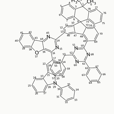 CC1(C)c2ccccc2C2(c3ccc(-c4nc(-c5ccc6c(c5)c5ccccc5n6-c5ccccc5)c5oc6ccccc6c5n4)cc3-c3c(-c4nc(Cc5ccccc5)nc(-c5ccccc5)n4)cccc32)c2ccccc21